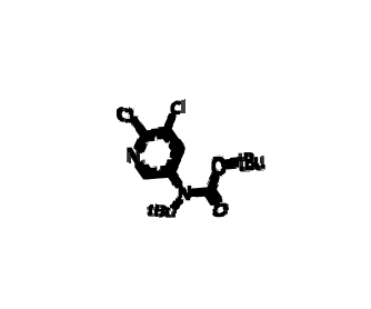 CC(C)(C)OC(=O)N(c1cnc(Cl)c(Cl)c1)C(C)(C)C